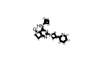 [O-][S+]1CCc2nc(N3CC(c4ccccn4)C3)nc(NC34CC(C3)C4)c21